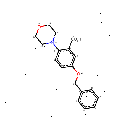 O=C(O)c1cc(OCc2ccccc2)ccc1N1CCOCC1